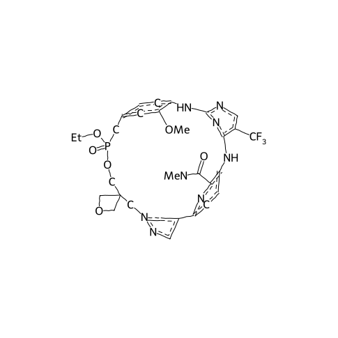 CCOP1(=O)Cc2ccc(c(OC)c2)Nc2ncc(C(F)(F)F)c(n2)Nc2ccc(nc2C(=O)NC)-c2cnn(c2)CC2(COC2)CO1